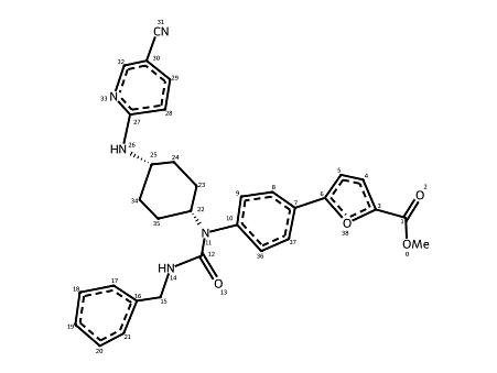 COC(=O)c1ccc(-c2ccc(N(C(=O)NCc3ccccc3)[C@H]3CC[C@@H](Nc4ccc(C#N)cn4)CC3)cc2)o1